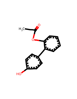 CC(=O)Oc1ccccc1-c1ccc(O)cc1